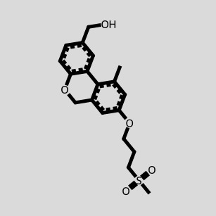 Cc1cc(OCCCS(C)(=O)=O)cc2c1-c1cc(CO)ccc1OC2